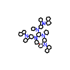 C1=CC2c3cc(N(c4ccccc4)c4cc(N(c5ccccc5)c5ccc6c(c5)c5ccccc5n6-c5cccc6ccccc56)cc(N(c5ccccc5)c5ccc6c(c5)c5ccccc5n6-c5cccc6ccccc56)c4)ccc3N(c3cccc4ccccc34)C2C=C1